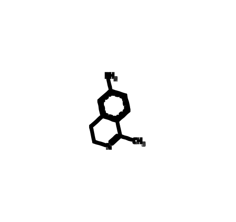 Bc1ccc2c(c1)CCN=C2C